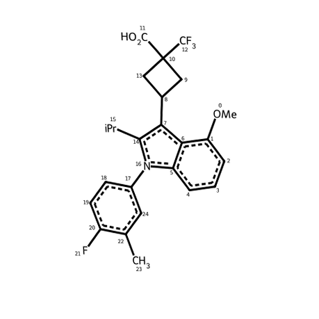 COc1cccc2c1c(C1CC(C(=O)O)(C(F)(F)F)C1)c(C(C)C)n2-c1ccc(F)c(C)c1